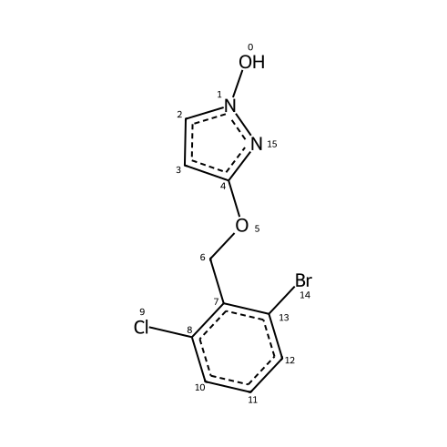 On1ccc(OCc2c(Cl)cccc2Br)n1